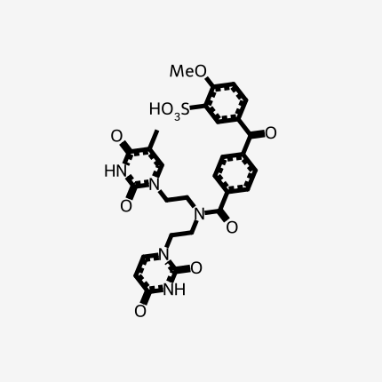 COc1ccc(C(=O)c2ccc(C(=O)N(CCn3ccc(=O)[nH]c3=O)CCn3cc(C)c(=O)[nH]c3=O)cc2)cc1S(=O)(=O)O